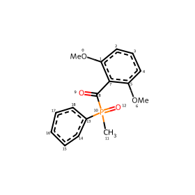 COc1cccc(OC)c1C(=O)P(C)(=O)c1ccccc1